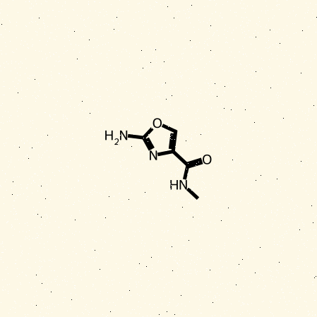 CNC(=O)c1coc(N)n1